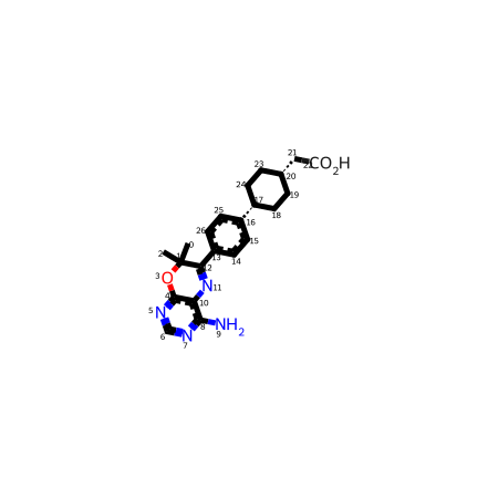 CC1(C)Oc2ncnc(N)c2N=C1c1ccc([C@H]2CC[C@@H](CC(=O)O)CC2)cc1